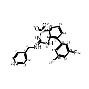 O=S1(=O)N=C(NCc2ccncc2)Nc2c(-c3cc(F)cc(F)c3)cccc21